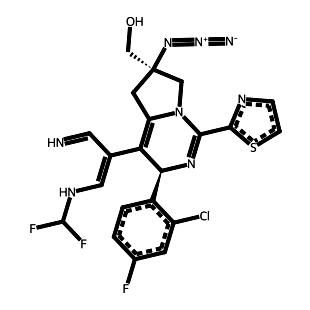 [N-]=[N+]=N[C@]1(CO)CC2=C(/C(C=N)=C/NC(F)F)[C@H](c3ccc(F)cc3Cl)N=C(c3nccs3)N2C1